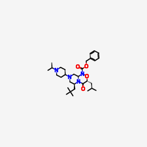 CC(C)C[C@H]1ON(C(=O)OCc2ccccc2)C2CN(C3CCN(C(C)C)CC3)C[C@H](CC(C)(C)C)N2C1=O